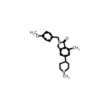 COc1ccc(CN2Cc3cc(C4CCN(C)CC4)cc(C)c3C2=O)cc1